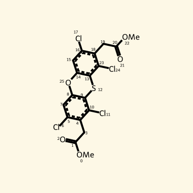 COC(=O)Cc1c(Cl)cc2c(c1Cl)Sc1c(cc(Cl)c(CC(=O)OC)c1Cl)O2